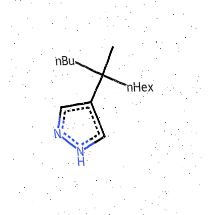 CCCCCCC(C)(CCCC)c1cn[nH]c1